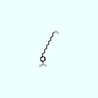 CCCCCCCCCCCCc1ccc(P(Cl)Cl)cc1